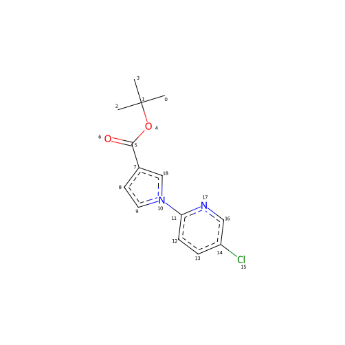 CC(C)(C)OC(=O)c1ccn(-c2ccc(Cl)cn2)c1